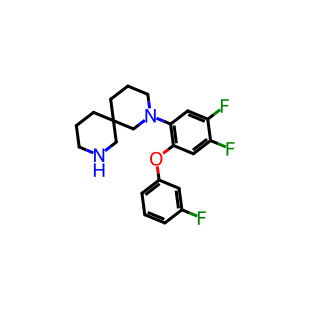 Fc1cccc(Oc2cc(F)c(F)cc2N2CCCC3(CCCNC3)C2)c1